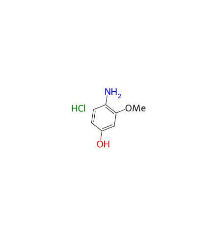 COc1cc(O)ccc1N.Cl